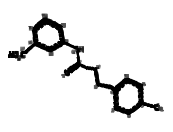 O=C(CCc1ccc(Cl)cc1)Nc1cccc(C(=O)O)c1